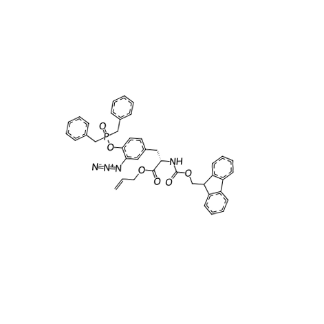 C=CCOC(=O)[C@H](Cc1ccc(OP(=O)(Cc2ccccc2)Cc2ccccc2)c(N=[N+]=[N-])c1)NC(=O)OCC1c2ccccc2-c2ccccc21